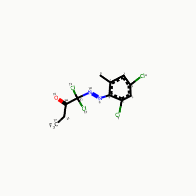 Cc1cc(Cl)cc(Cl)c1N=NC(Cl)(Cl)C(=O)CC(F)(F)F